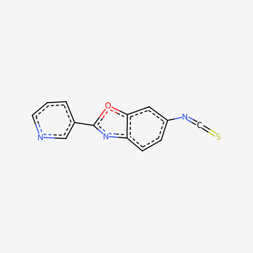 S=C=Nc1ccc2nc(-c3cccnc3)oc2c1